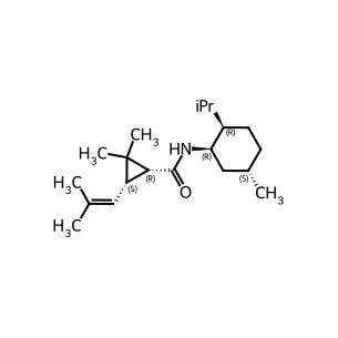 CC(C)=C[C@H]1[C@@H](C(=O)N[C@@H]2C[C@@H](C)CC[C@@H]2C(C)C)C1(C)C